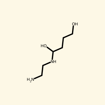 NCCNC(O)CCCO